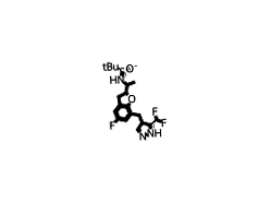 CC(N[S@+]([O-])C(C)(C)C)C1Cc2cc(F)cc(CC3C=NN[C@@H]3C(F)F)c2O1